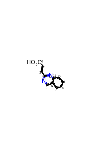 O=C(O)C=Cc1ncc2ccccc2n1